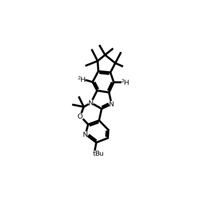 [2H]c1c2c(c([2H])c3c1nc1n3C(C)(C)Oc3nc(C(C)(C)C)ccc3-1)C(C)(C)C(C)(C)C2(C)C